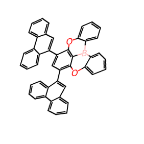 c1ccc2c(c1)Oc1c(-c3cc4ccccc4c4ccccc34)cc(-c3cc4ccccc4c4ccccc34)c3c1B2c1ccccc1O3